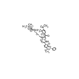 COC(=O)c1ccc(C(=O)NC(CNC(=O)c2ccc(C(C)=O)n(C)c2=O)C(=O)NCCOCCNC(=O)OC(C)(C)C)c(=O)n1OCc1ccccc1